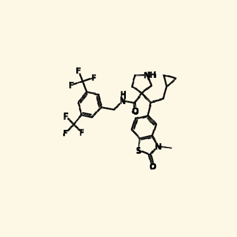 Cn1c(=O)sc2ccc(C(CC3CC3)C3(C(=O)NCc4cc(C(F)(F)F)cc(C(F)(F)F)c4)CCNC3)cc21